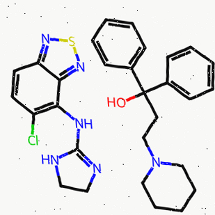 Clc1ccc2nsnc2c1NC1=NCCN1.OC(CCN1CCCCC1)(c1ccccc1)c1ccccc1